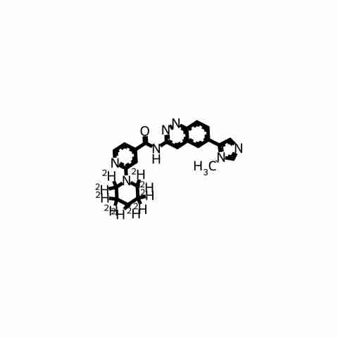 [2H]C1([2H])N(c2cc(C(=O)Nc3cc4cc(-c5cncn5C)ccc4nn3)ccn2)C([2H])([2H])C([2H])([2H])C([2H])([2H])C1([2H])[2H]